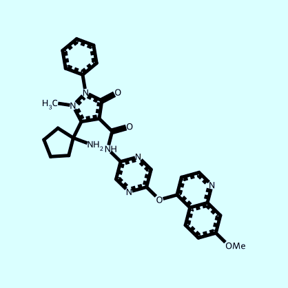 COc1ccc2c(Oc3cnc(NC(=O)c4c(C5(N)CCCC5)n(C)n(-c5ccccc5)c4=O)cn3)ccnc2c1